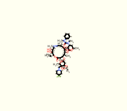 CC[C@H]1OC(=O)[C@H](C)[C@@H](O[C@H]2C[C@@](C)(OC)[C@](O)(CN3CCC(F)(F)CC3)[C@H](C)O2)[C@H](C)[C@@H](O[C@@H]2O[C@H](C)C[C@H](N(C)C(=O)N(C)c3ccccc3)[C@H]2O)[C@](C)(O)C[C@@H](C)CN[C@H](C)[C@@H](O)[C@]1(C)O